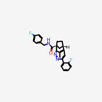 CC1=C2C=C(c3ccccc3F)N=NC1[C@]1(C(=O)NCc3ccc(F)cc3)CC[C@H]2C1